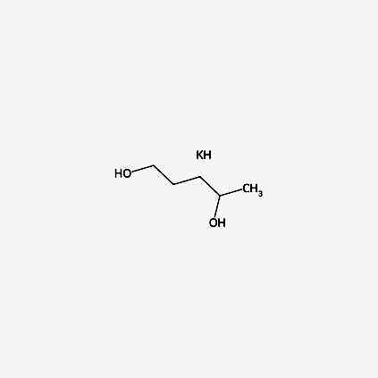 CC(O)CCCO.[KH]